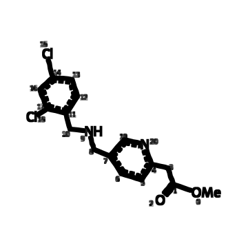 COC(=O)Cc1ccc(CNCc2ccc(Cl)cc2Cl)cn1